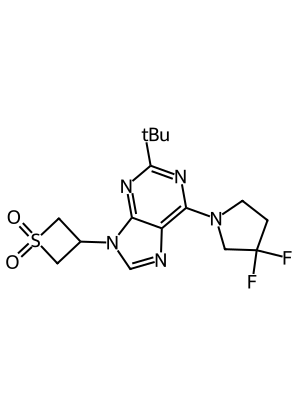 CC(C)(C)c1nc(N2CCC(F)(F)C2)c2ncn(C3CS(=O)(=O)C3)c2n1